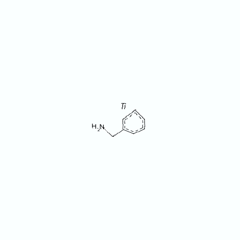 NCc1ccccc1.[Ti]